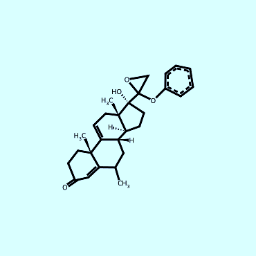 CC1C[C@@H]2C(=CC[C@@]3(C)[C@H]2CC[C@]3(O)C2(Oc3ccccc3)CO2)[C@@]2(C)CCC(=O)C=C12